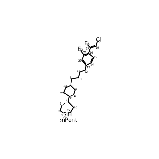 CCCCC[Si@H]1CC[C@H]([C@H]2CC[C@H](CCCCc3ccc(C(F)=CCl)c(F)c3)CC2)CC1